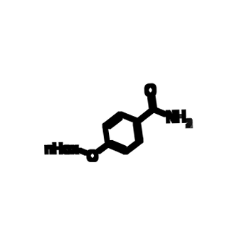 CCCCCCOc1ccc(C(N)=O)cc1